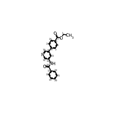 CCOC(=O)c1ccc(-c2cncc(NC(=O)c3ccccc3)c2)cc1